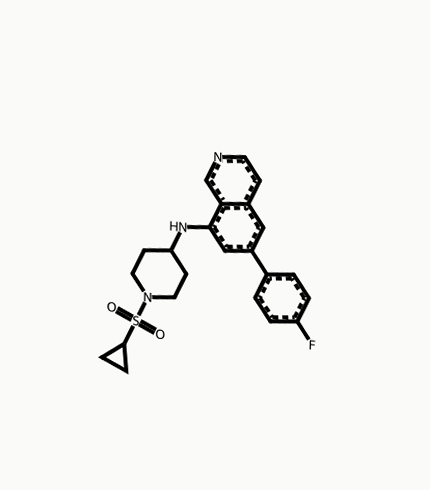 O=S(=O)(C1CC1)N1CCC(Nc2cc(-c3ccc(F)cc3)cc3ccncc23)CC1